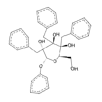 OC[C@H]1O[C@H](Oc2ccccc2)[C@@](O)(Cc2ccccc2)[C@](O)(Cc2ccccc2)[C@]1(O)Cc1ccccc1